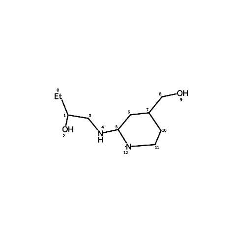 CCC(O)CNC1CC(CO)CC[N]1